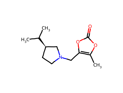 Cc1oc(=O)oc1CN1CC[C@@H](C(C)C)C1